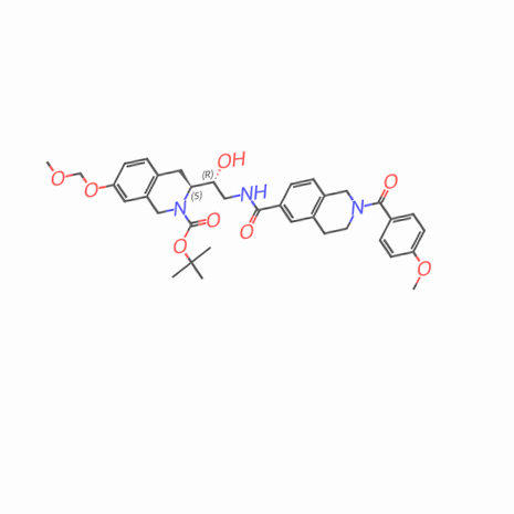 COCOc1ccc2c(c1)CN(C(=O)OC(C)(C)C)[C@H]([C@H](O)CNC(=O)c1ccc3c(c1)CCN(C(=O)c1ccc(OC)cc1)C3)C2